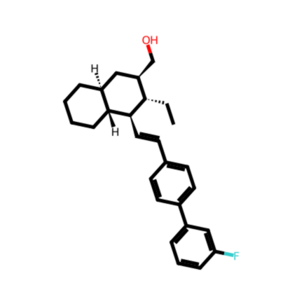 CC[C@H]1[C@H](CO)C[C@@H]2CCCC[C@H]2[C@@H]1/C=C/c1ccc(-c2cccc(F)c2)cc1